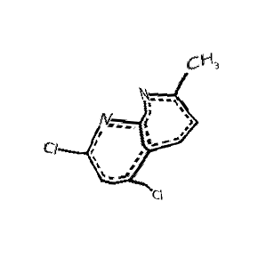 Cc1ccc2c(Cl)cc(Cl)nc2n1